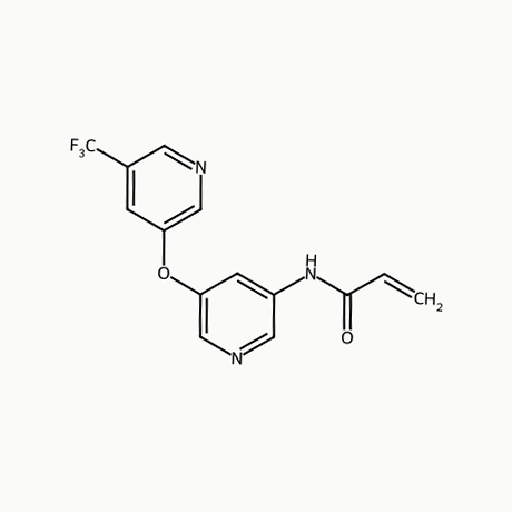 C=CC(=O)Nc1cncc(Oc2cncc(C(F)(F)F)c2)c1